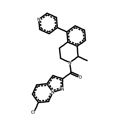 CC1c2cccc(-c3ccncc3)c2CCN1C(=O)c1cc2ccc(Cl)cn2n1